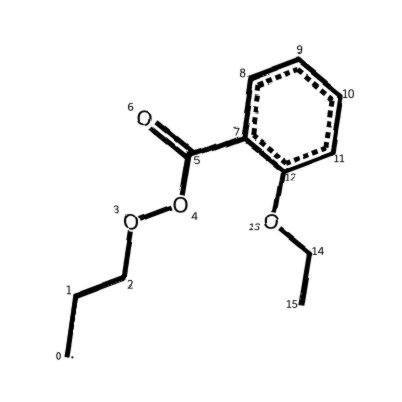 [CH2]CCOOC(=O)c1ccccc1OCC